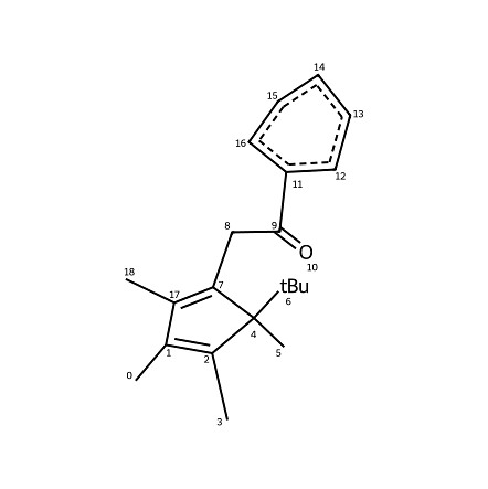 CC1=C(C)C(C)(C(C)(C)C)C(CC(=O)c2ccccc2)=C1C